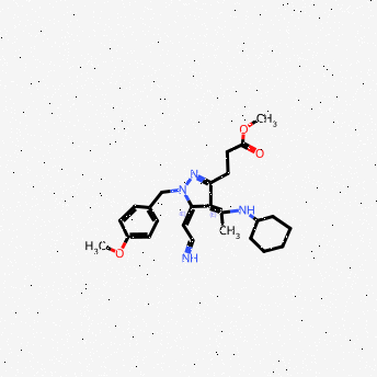 COC(=O)CCc1nn(Cc2ccc(OC)cc2)c(=C/C=N)/c1=C(\C)NC1CCCCC1